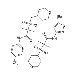 CC(C)(C(=O)Nc1ccc(C(F)(F)F)cn1)S(=O)(=O)CC1CCOCC1.CC(C)(C)c1cc(NC(=O)C(C)(C)S(=O)(=O)C2CCOCC2)no1